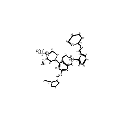 CN1CCC[C@H]1COc1nc2c(c(N3CCN(C(=O)O)[C@@H](CC#N)C3)n1)CCCN(c1ccccc1COC1CCCCO1)C2